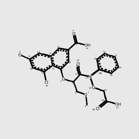 COCC(Oc1cc(C(=O)O)cc2cc(Cl)cc(Cl)c12)C(=O)N(OCC(=O)O)c1ccccc1